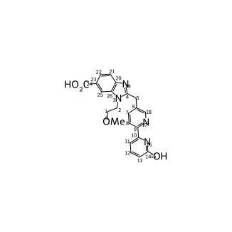 COCCn1c(Cc2ccc(-c3cccc(O)n3)nc2)nc2ccc(C(=O)O)cc21